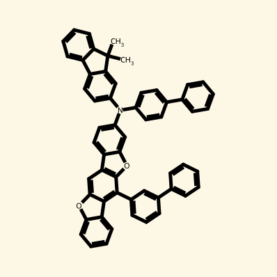 CC1(C)c2ccccc2-c2ccc(N(c3ccc(-c4ccccc4)cc3)c3ccc4c(c3)oc3c(-c5cccc(-c6ccccc6)c5)c5c(cc34)oc3ccccc35)cc21